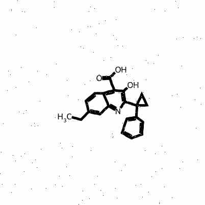 CCc1ccc2c(C(=O)O)c(O)c(C3(c4ccccc4)CC3)nc2c1